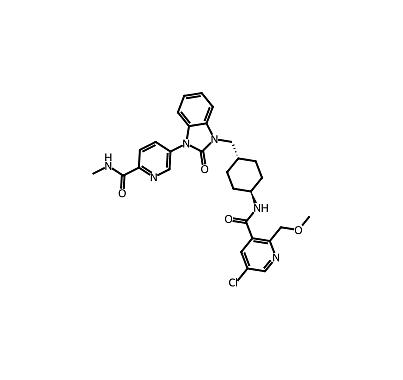 CNC(=O)c1ccc(-n2c(=O)n(C[C@H]3CC[C@H](NC(=O)c4cc(Cl)cnc4COC)CC3)c3ccccc32)cn1